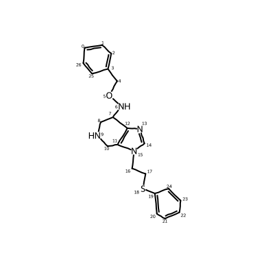 c1ccc(CONC2CNCc3c2ncn3CCSc2ccccc2)cc1